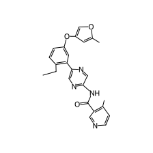 CCc1ccc(Oc2coc(C)c2)cc1-c1cnc(NC(=O)c2cnccc2C)cn1